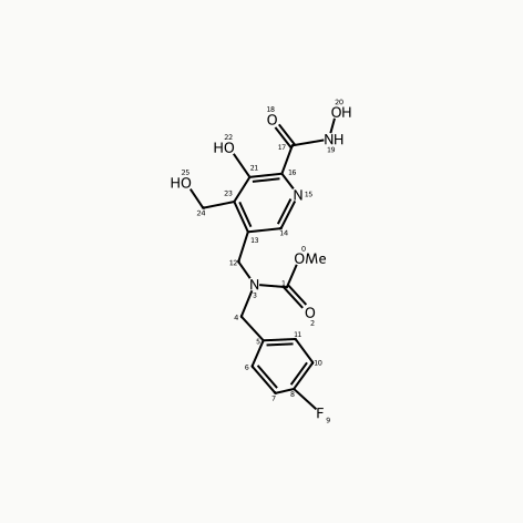 COC(=O)N(Cc1ccc(F)cc1)Cc1cnc(C(=O)NO)c(O)c1CO